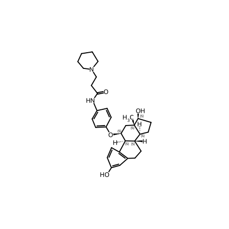 C[C@]12C[C@H](Oc3ccc(NC(=O)CCN4CCCCC4)cc3)[C@@H]3c4ccc(O)cc4CC[C@H]3[C@@H]1CC[C@@H]2O